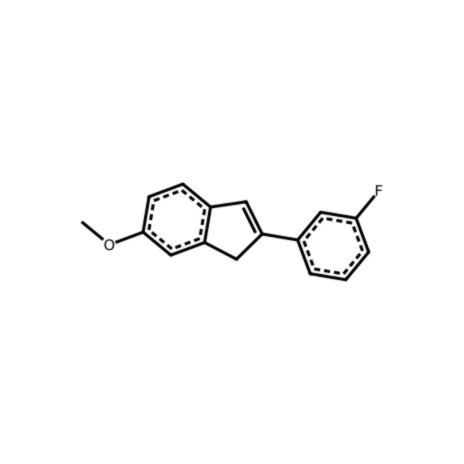 COc1ccc2c(c1)CC(c1cccc(F)c1)=C2